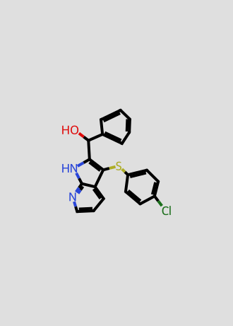 OC(c1ccccc1)c1[nH]c2ncccc2c1Sc1ccc(Cl)cc1